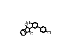 CCc1ccc(-c2ccc(Cl)cc2)cc1C1C(=O)C2C3C=CC(CC3)C2C1=O